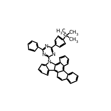 C[Si](C)(C)c1ccc(-c2nc(-c3ccccc3)nc(-n3c4ccccc4c4c5ccc6ccccc6c5c5ccccc5c43)n2)cc1